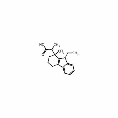 CCn1c2c(c3ccccc31)CCCC2(C)C(C)C(=O)O